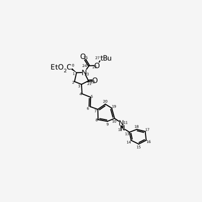 CCOC(=O)[C@@H]1CC(C/C=C/c2ccc(/N=N/c3ccccc3)cc2)C(=O)N1C(=O)OC(C)(C)C